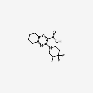 CC1CN(c2nc3c(nc2C(=O)O)CCCC3)CCC1(F)F